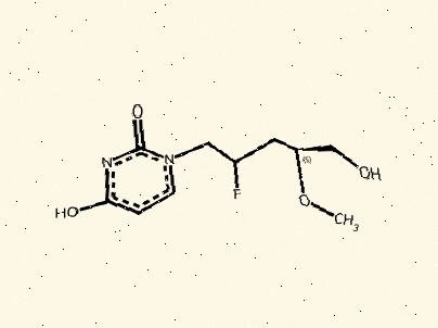 CO[C@H](CO)CC(F)Cn1ccc(O)nc1=O